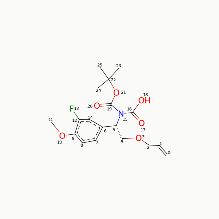 C=CCOC[C@H](c1ccc(OC)c(F)c1)N(C(=O)O)C(=O)OC(C)(C)C